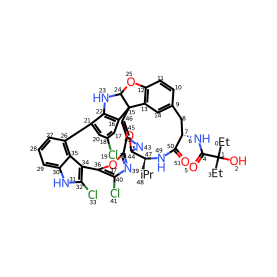 CCC(O)(CC)C(=O)N[C@H]1Cc2ccc3c(c2)C24c5cc(Cl)cc(c5NC2O3)-c2cccc3[nH]c(Cl)c(c23)-c2oc(nc2Cl)-c2nc(oc24)[C@H](C(C)C)NC1=O